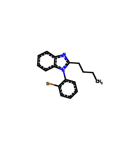 CCCCc1nc2ccccc2n1-c1ccccc1Br